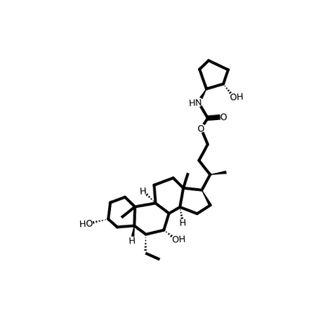 CC[C@H]1[C@@H](O)C2[C@@H]3CC[C@H]([C@H](C)CCOC(=O)N[C@H]4CCC[C@@H]4O)C3(C)CC[C@@H]2C2(C)CC[C@@H](O)C[C@@H]12